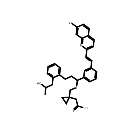 CC(O)Cc1ccccc1CCC(SCC1(CC(=O)O)CC1)c1cccc(/C=C/c2ccc3ccc(Cl)cc3n2)c1